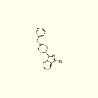 CCn1nc(C2CCN(Cc3ccccc3)CC2)c2ccccc21